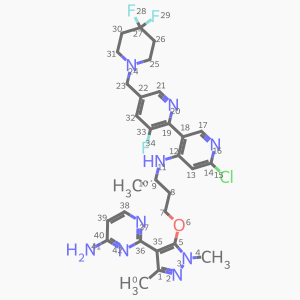 Cc1nn(C)c(OCC[C@H](C)Nc2cc(Cl)ncc2-c2ncc(CN3CCC(F)(F)CC3)cc2F)c1-c1nccc(N)n1